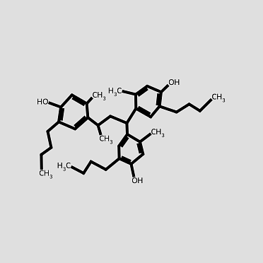 CCCCc1cc(C(C)CC(c2cc(CCCC)c(O)cc2C)c2cc(CCCC)c(O)cc2C)c(C)cc1O